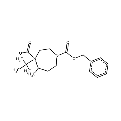 CC1CCN(C(=O)OCc2ccccc2)CC[N+]1(C(=O)[O-])C(C)(C)C